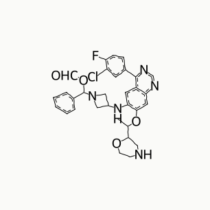 CC(Oc1cc2ncnc(-c3ccc(F)c(Cl)c3)c2cc1NC1CN(C(OC=O)c2ccccc2)C1)C1CNCCO1